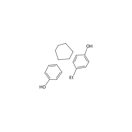 C1CCCCC1.CCc1ccc(O)cc1.Oc1ccccc1